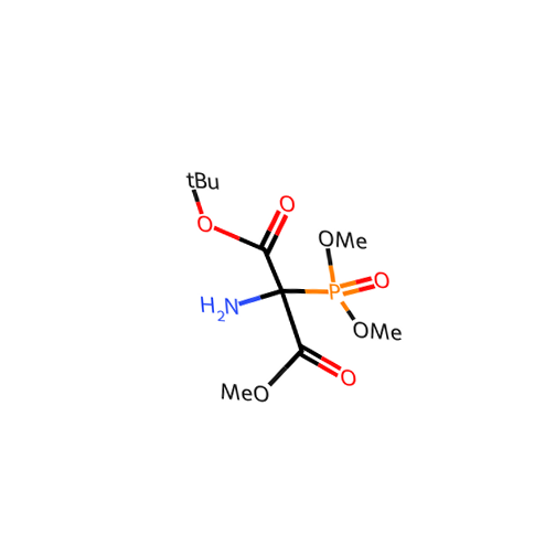 COC(=O)C(N)(C(=O)OC(C)(C)C)P(=O)(OC)OC